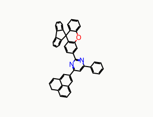 C1=Cc2cc(-c3cc(-c4ccccc4)nc(-c4ccc5c(c4)Oc4ccccc4C54c5ccccc5-c5ccccc54)n3)cc3cccc(c23)C1